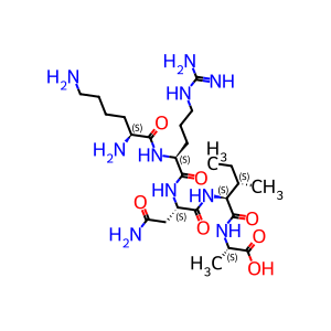 CC[C@H](C)[C@H](NC(=O)[C@H](CC(N)=O)NC(=O)[C@H](CCCNC(=N)N)NC(=O)[C@@H](N)CCCCN)C(=O)N[C@@H](C)C(=O)O